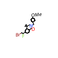 COc1ccc(CN2CC3(CC3)c3cc(C(F)CBr)ccc3C2=O)cc1